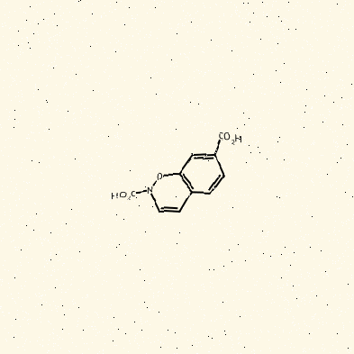 O=C(O)c1ccc2c(c1)ON(C(=O)O)C=C2